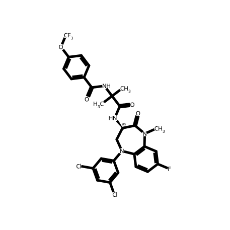 CN1C(=O)[C@H](NC(=O)C(C)(C)NC(=O)c2ccc(OC(F)(F)F)cc2)CN(c2cc(Cl)cc(Cl)c2)c2ccc(F)cc21